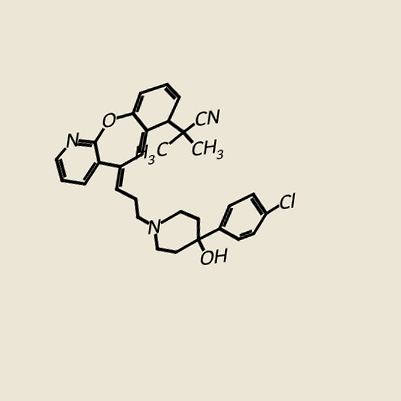 CC(C)(C#N)C1C=CC=C2Oc3ncccc3C(=CCCN3CCC(O)(c4ccc(Cl)cc4)CC3)C=C21